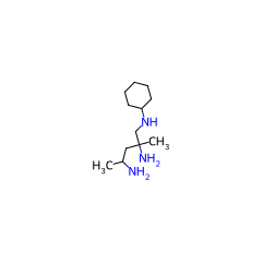 CC(N)CC(C)(N)CNC1CCCCC1